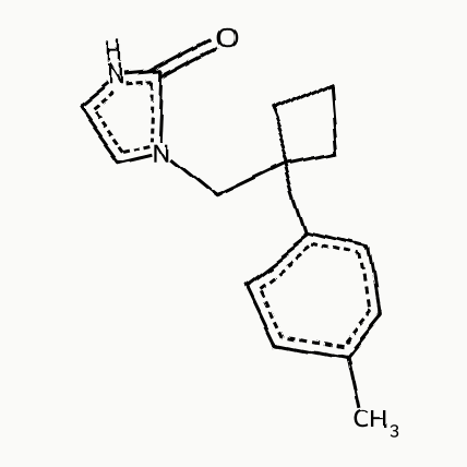 Cc1ccc(C2(Cn3cc[nH]c3=O)CCC2)cc1